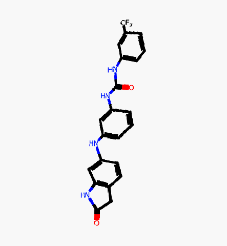 O=C1Cc2ccc(Nc3cccc(NC(=O)Nc4cccc(C(F)(F)F)c4)c3)cc2N1